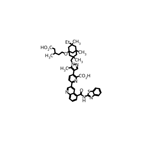 CCC1(C)CC2(C)CC(C)(Cn3ncc(-c4ccc(-c5cnc6cccc(C(=O)Nc7nc8ccccc8s7)c6c5)nc4C(=O)O)c3C)CC(OCCC(C)CC(=O)O)(C1)C2